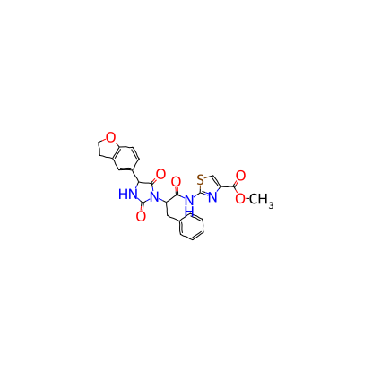 COC(=O)c1csc(NC(=O)C(Cc2ccccc2)N2C(=O)NC(c3ccc4c(c3)CCO4)C2=O)n1